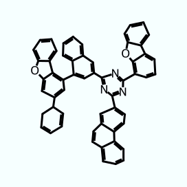 C1=CCC(c2cc(-c3cc(-c4nc(-c5ccc6c(ccc7ccccc76)c5)nc(-c5cccc6c5oc5ccccc56)n4)cc4ccccc34)c3c(c2)oc2ccccc23)C=C1